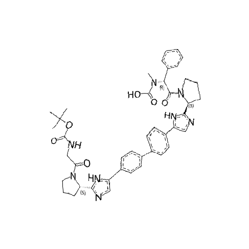 CN(C(=O)O)[C@@H](C(=O)N1CCC[C@H]1c1ncc(-c2ccc(-c3ccc(-c4cnc([C@@H]5CCCN5C(=O)CNC(=O)OC(C)(C)C)[nH]4)cc3)cc2)[nH]1)c1ccccc1